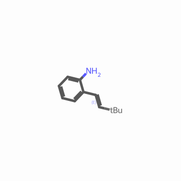 CC(C)(C)/C=C/c1ccccc1N